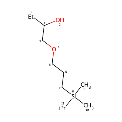 CCC(O)COCCC[Si](C)(C)C(C)C